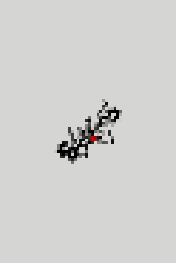 COc1cccnc1C(=O)NC[C@@H]1NC(=N)N2CC(NC(=O)c3cccc4c3OCCC4(C)C)[C@@H](O)C23NC(=N)NC13